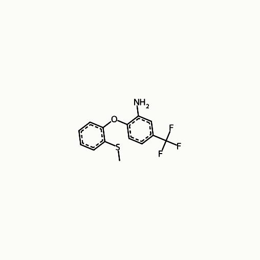 CSc1ccccc1Oc1ccc(C(F)(F)F)cc1N